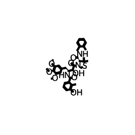 COc1cc(C[C@H](NC(=O)c2cccc(O)c2C)[C@H](O)C(=O)N2CSC(C)(C)[C@H]2C(=O)NCc2ccccc2C)cc(OC)c1OC